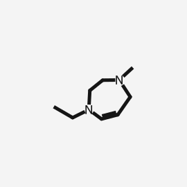 CCN1C=CCN(C)CC1